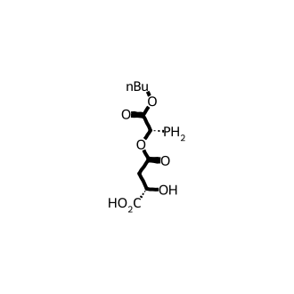 CCCCOC(=O)[C@H](P)OC(=O)C[C@H](O)C(=O)O